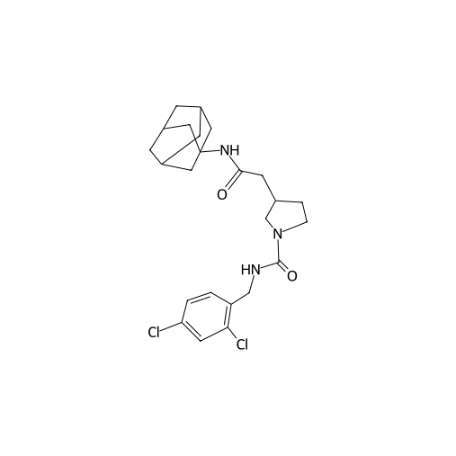 O=C(CC1CCN(C(=O)NCc2ccc(Cl)cc2Cl)C1)NC12CC3CC(CC(C3)C1)C2